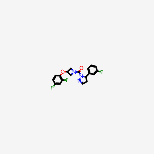 O=C(N1CC(Oc2ccc(F)cc2F)C1)N1N=CCC1c1cccc(F)c1